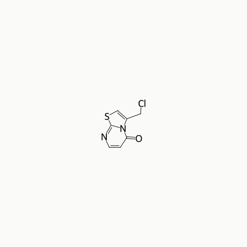 O=c1ccnc2scc(CCl)n12